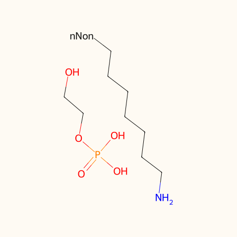 CCCCCCCCCCCCCCCCN.O=P(O)(O)OCCO